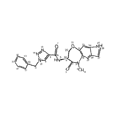 CN1C(=O)[C@@H](NC(=O)c2cn(Cc3ccccc3)nn2)COc2cc3[nH]ccc3cc21